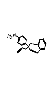 C=CCC1(c2ccc(N)cc2)C=Cc2ccccc2C1